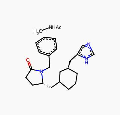 CNC(C)=O.O=C1CC[C@@H](CC2CCC[C@H](Cc3cnc[nH]3)C2)N1Cc1ccccc1